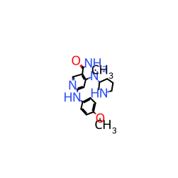 COc1ccc(Nc2cc(N(C)[C@H]3CCCNC3)c(C(N)=O)cn2)cc1